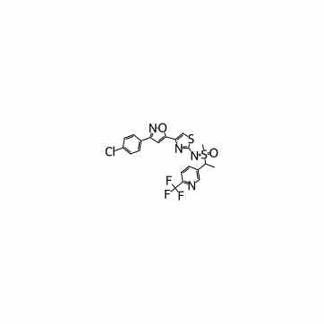 CC(c1ccc(C(F)(F)F)nc1)S(C)(=O)=Nc1nc(-c2cc(-c3ccc(Cl)cc3)no2)cs1